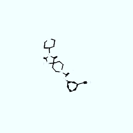 C#Cc1cccc(NC(=O)N2CCC3(CC2)NC(=O)N(C2CCOCC2)C3=O)c1